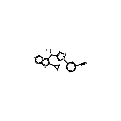 N#Cc1cccc(-n2cc([C@H](O)c3c(C4CC4)sc4cncn34)nn2)c1